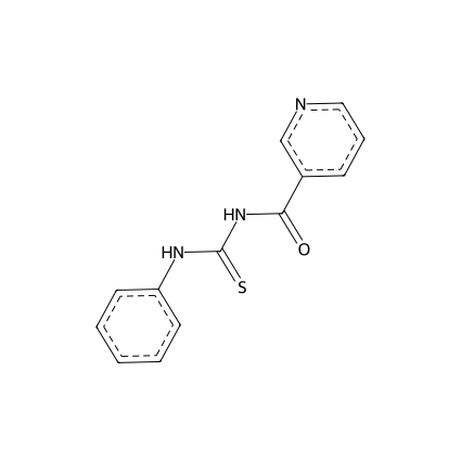 O=C(NC(=S)Nc1ccccc1)c1cccnc1